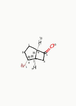 O=C1C[C@H]2[C@H](Br)CC[C@@H]12